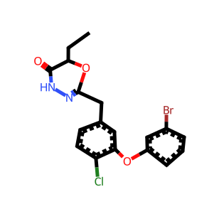 CCC1OC(Cc2ccc(Cl)c(Oc3cccc(Br)c3)c2)=NNC1=O